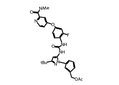 CNC(=O)c1cc(Oc2ccc(NC(=O)Nc3cc(C(C)(C)C)nn3-c3cccc(COC(C)=O)c3)c(F)c2)ccn1